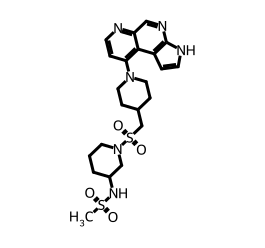 CS(=O)(=O)NC1CCCN(S(=O)(=O)CC2CCN(c3ccnc4cnc5[nH]ccc5c34)CC2)C1